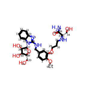 CCOc1ccc(CNc2nc3ccccc3n2[C@@H]2O[C@H](CO)[C@@H](O)[C@H]2O)cc1OCCCN[C@@H](CO)C(N)=O